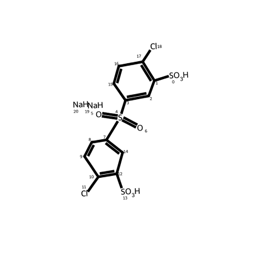 O=S(=O)(O)c1cc(S(=O)(=O)c2ccc(Cl)c(S(=O)(=O)O)c2)ccc1Cl.[NaH].[NaH]